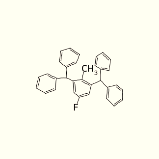 Cc1c(C(c2ccccc2)c2ccccc2)cc(F)cc1C(c1ccccc1)c1ccccc1